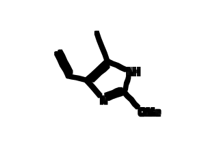 C=Cc1nc(OC)[nH]c1C